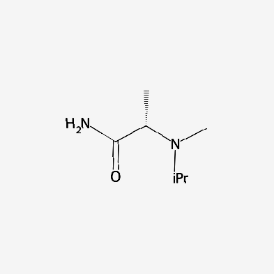 CC(C)N(C)[C@@H](C)C(N)=O